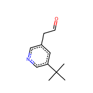 CC(C)(C)c1cncc(CC=O)c1